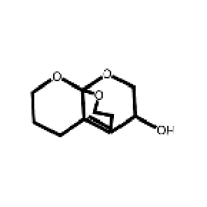 OC1COC23OCCCC2=C1CCO3